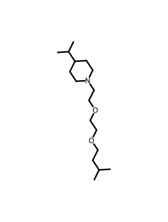 CC(C)CCOCCOCCN1CCC(C(C)C)CC1